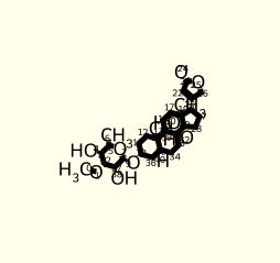 COC1[C@@H](O)C(C)O[C@@H](O[C@H]2CC[C@]3(C)C4CC[C@]5(C)[C@H](C6=CC(=O)OC6)CC[C@]5(O)[C@@]45O[C@H]5C[C@@H]3C2)[C@@H]1O